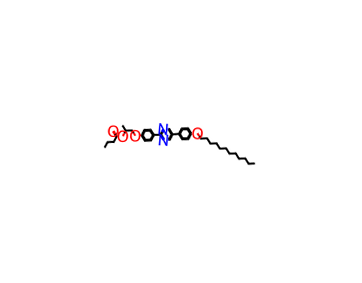 CCCCCCCCCCCCOc1ccc(-c2cnc(-c3ccc(OCC(C)OC(=O)CCC)cc3)nc2)cc1